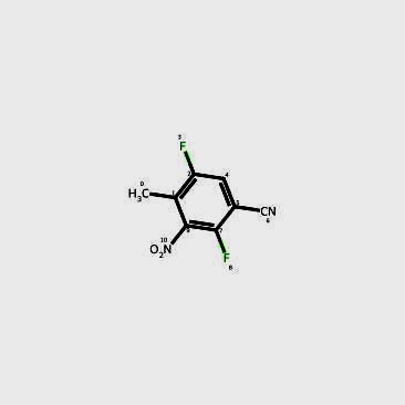 Cc1c(F)cc(C#N)c(F)c1[N+](=O)[O-]